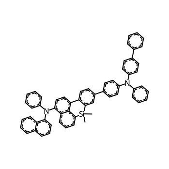 C[Si]1(C)c2cc(-c3ccc(N(c4ccccc4)c4ccc(-c5ccccc5)cc4)cc3)ccc2-c2ccc(N(c3ccccc3)c3cccc4ccccc34)c3cccc1c23